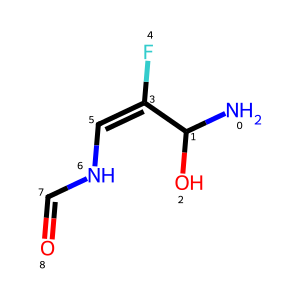 NC(O)/C(F)=C\NC=O